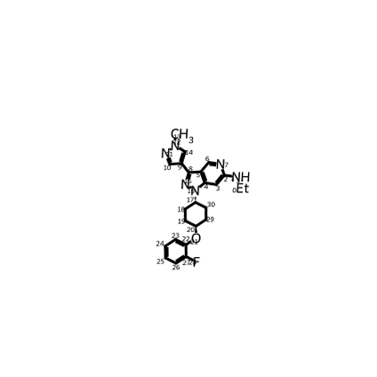 CCNc1cc2c(cn1)c(-c1cnn(C)c1)nn2[C@H]1CC[C@H](Oc2ccccc2F)CC1